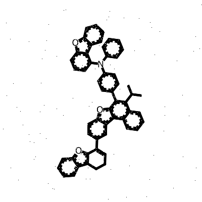 CC(C)c1c(-c2ccc(N(c3ccccc3)c3cccc4oc5ccccc5c34)cc2)c2oc3ccc(C4=CCCc5c4oc4ccccc54)cc3c2c2ccccc12